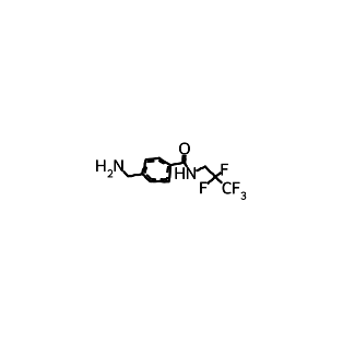 NCc1ccc(C(=O)NCC(F)(F)C(F)(F)F)cc1